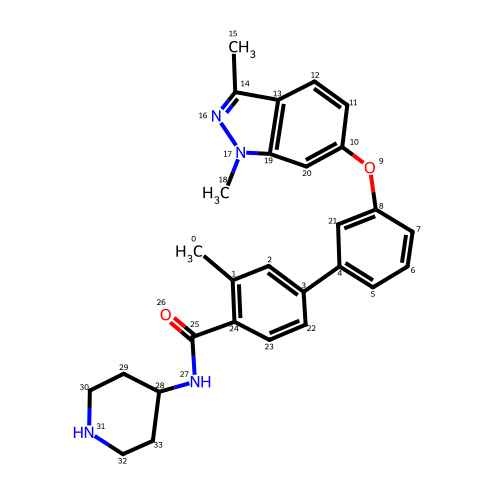 Cc1cc(-c2cccc(Oc3ccc4c(C)nn(C)c4c3)c2)ccc1C(=O)NC1CCNCC1